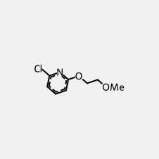 COCCOc1cccc(Cl)n1